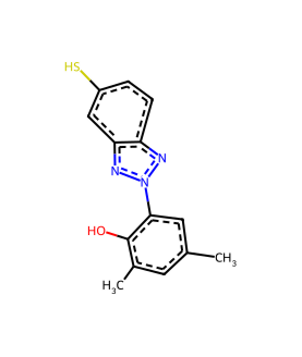 Cc1cc(C)c(O)c(-n2nc3ccc(S)cc3n2)c1